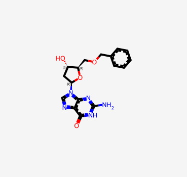 Nc1nc2c(ncn2[C@H]2C[C@H](O)[C@@H](COCc3ccccc3)O2)c(=O)[nH]1